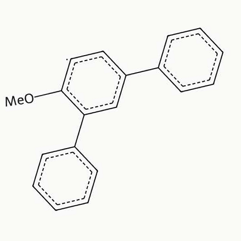 COc1[c]cc(-c2ccccc2)cc1-c1ccccc1